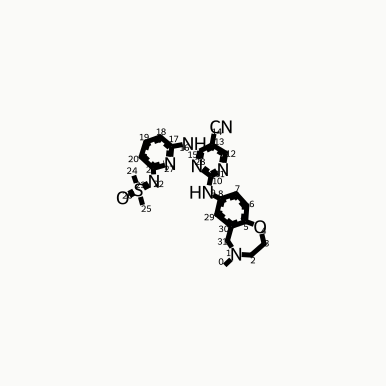 CN1CCOc2ccc(Nc3ncc(C#N)c(Nc4cccc(N=S(C)(C)=O)n4)n3)cc2C1